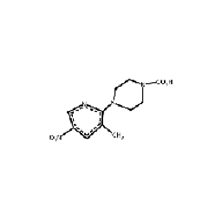 Cc1cc([N+](=O)[O-])cnc1N1CCN(C(=O)O)CC1